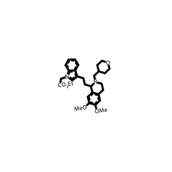 CCOC(=O)Cn1cc(CCC2c3cc(OC)c(OC)cc3CCN2CC2CCOCC2)c2ccccc21